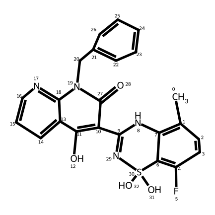 Cc1ccc(F)c2c1NC(c1c(O)c3cccnc3n(Cc3ccccc3)c1=O)=NS2(O)O